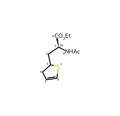 CCOC(=O)[C@H](CC1CC=CS1)NC(C)=O